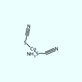 N.N#C[S][Co][S]C#N